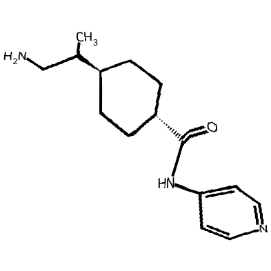 CC(CN)[C@H]1CC[C@H](C(=O)Nc2ccncc2)CC1